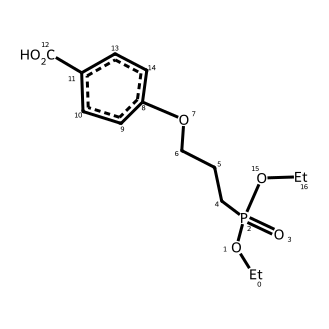 CCOP(=O)(CCCOc1ccc(C(=O)O)cc1)OCC